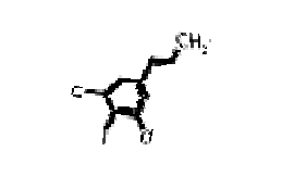 [CH2]CCc1cc(Cl)c(I)c(Cl)c1